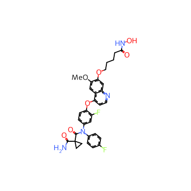 COc1cc2c(Oc3ccc(N(C(=O)C4(C(N)=O)CC4)c4ccc(F)cc4)cc3F)ccnc2cc1OCCCCC(=O)NO